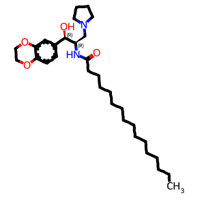 CCCCCCCCCCCCCCCC(=O)N[C@H](CN1CCCC1)[C@H](O)c1ccc2c(c1)OCCO2